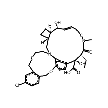 CC[C@H]1C(=O)N(C)CC/C=C/[C@H](O)[C@@H]2CC[C@H]2CN2CCCCc3cc(Cl)ccc3COc3ccc(cc32)[C@@]1(O)C(=O)O